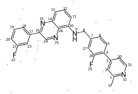 Cc1cc(-c2ccc(CNc3cccc4nc(-c5cccc(F)c5)cnc34)cc2F)ccn1